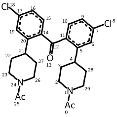 CC(=O)N1CCC(c2cc(Cl)ccc2C(=O)c2ccc(Cl)cc2C2CCN(C(C)=O)CC2)CC1